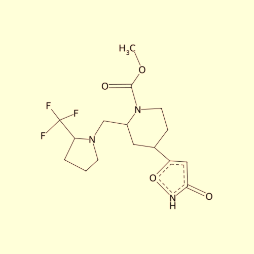 COC(=O)N1CCC(c2cc(=O)[nH]o2)CC1CN1CCCC1C(F)(F)F